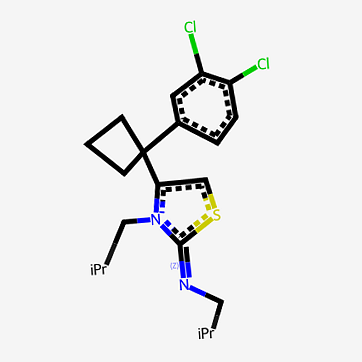 CC(C)C/N=c1\scc(C2(c3ccc(Cl)c(Cl)c3)CCC2)n1CC(C)C